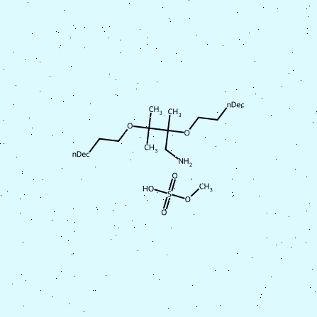 CCCCCCCCCCCCOC(C)(C)C(C)(CN)OCCCCCCCCCCCC.COS(=O)(=O)O